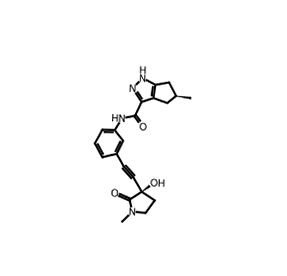 C[C@@H]1Cc2[nH]nc(C(=O)Nc3cccc(C#C[C@]4(O)CCN(C)C4=O)c3)c2C1